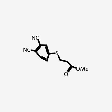 COC(=O)CCSc1ccc(C#N)c(C#N)c1